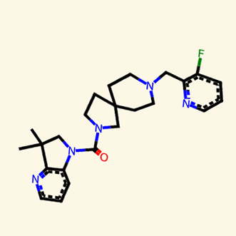 CC1(C)CN(C(=O)N2CCC3(CCN(Cc4ncccc4F)CC3)C2)c2cccnc21